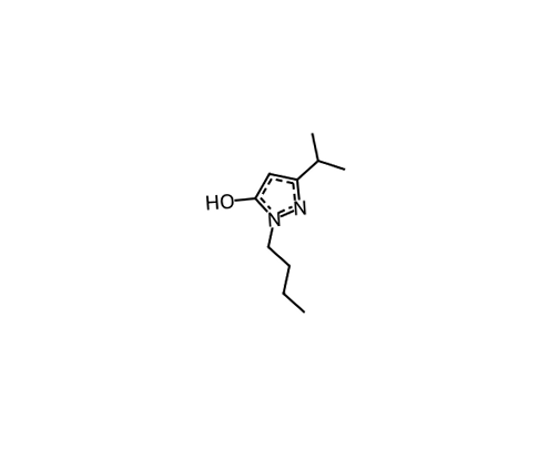 CCCCn1nc(C(C)C)cc1O